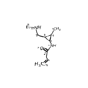 C=CC(=O)NC1C(C)C1CNCC